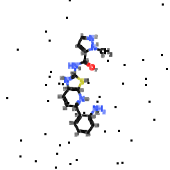 Cn1nccc1C(=O)Nc1nc2ccc(-c3ccccc3N)nc2s1